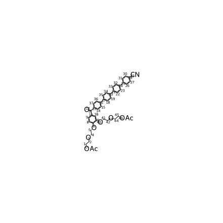 CC(=O)OCCOCCOc1ccc(C(=O)c2ccc(-c3ccc(-c4ccc(-c5ccc(C#N)cc5)cc4)cc3)cc2)cc1OCCOCCOC(C)=O